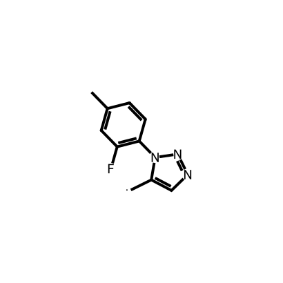 [CH2]c1cnnn1-c1ccc(C)cc1F